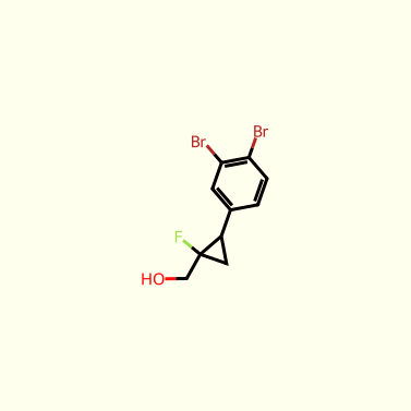 OCC1(F)CC1c1ccc(Br)c(Br)c1